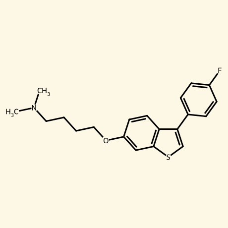 CN(C)CCCCOc1ccc2c(-c3ccc(F)cc3)csc2c1